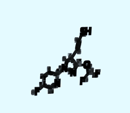 Fc1ccc(-n2cc(C#CS)c(OC(F)F)n2)nc1